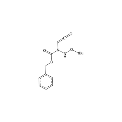 CC(C)(C)ONN(C=C=O)C(=O)OCc1ccccc1